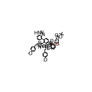 COc1ccc(CN(Cc2ccc(OC)cc2)S(=O)(=O)c2c(S(=O)(=O)N[C@@H]3CCN(C(=O)OC(C)(C)C)C3)ccc(-c3cccc4[nH]nnc34)c2-c2nnn(Cc3ccc(OC)cc3)n2)cc1